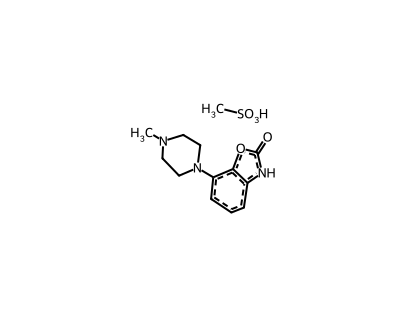 CN1CCN(c2cccc3[nH]c(=O)oc23)CC1.CS(=O)(=O)O